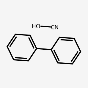 N#CO.c1ccc(-c2ccccc2)cc1